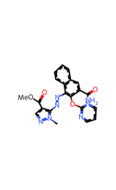 COC(=O)c1cnn(C)c1/N=N/c1c(Oc2ncccn2)c(C(N)=O)cc2ccccc12